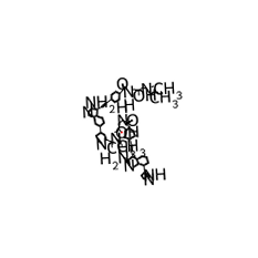 CCN(CC)CC(O)CNC(=O)c1ccc(C#Cc2c(N)ncc3cc(-c4ccnc(C(C)N(CC)CC(O)CNC(=O)c5ccc(C#Cc6c(N)ncc7c(-c8ccn[nH]8)cccc67)cc5)c4)ccc23)cc1